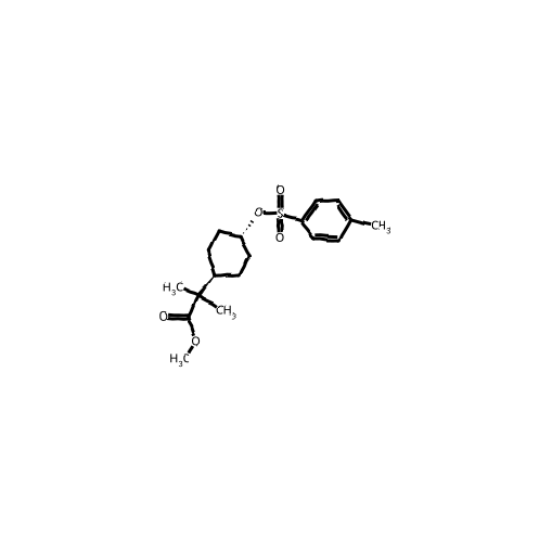 COC(=O)C(C)(C)[C@H]1CC[C@H](OS(=O)(=O)c2ccc(C)cc2)CC1